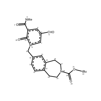 CNC(=O)c1cc(C=O)cn(Cc2ccc3c(c2)CCN(C(=O)OC(C)(C)C)CC3)c1=O